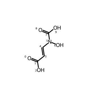 O=C(O)C=CN(O)C(=O)O